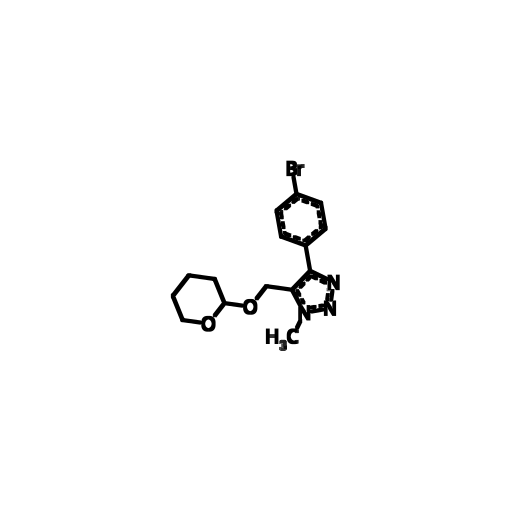 Cn1nnc(-c2ccc(Br)cc2)c1COC1CCCCO1